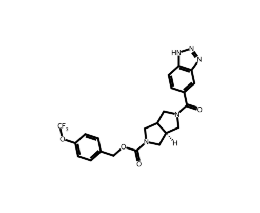 O=C(OCc1ccc(OC(F)(F)F)cc1)N1CC2CN(C(=O)c3ccc4[nH]nnc4c3)C[C@H]2C1